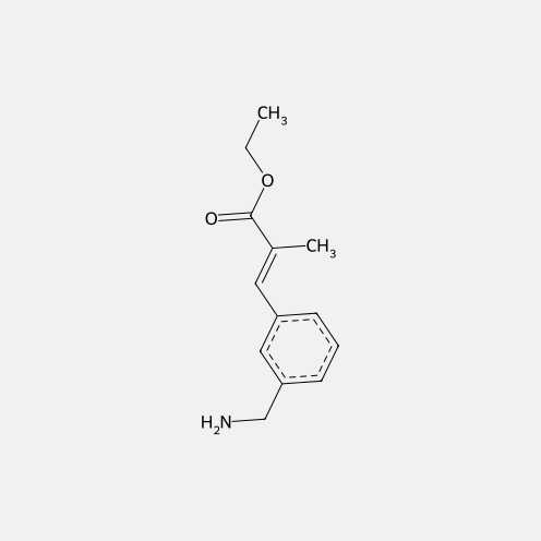 CCOC(=O)/C(C)=C/c1cccc(CN)c1